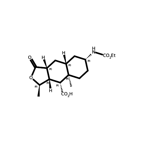 CCOC(=O)N[C@@H]1CC[C@]2(C)[C@@H](C1)C[C@H]1C(=O)O[C@H](C)[C@H]1[C@H]2C(=O)O